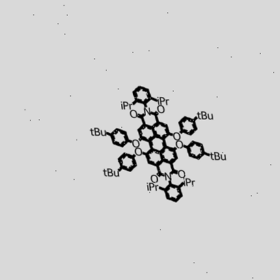 CC(C)c1cccc(C(C)C)c1N1C(=O)c2cc(Oc3ccc(C(C)(C)C)cc3)c3c4c(Oc5ccc(C(C)(C)C)cc5)cc5c6c(cc(Oc7ccc(C(C)(C)C)cc7)c(c7c(Oc8ccc(C(C)(C)C)cc8)cc(c2c37)C1=O)c64)C(=O)N(c1c(C(C)C)cccc1C(C)C)C5=O